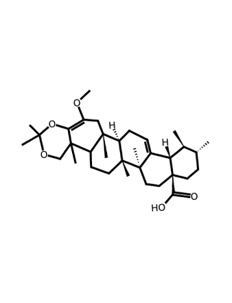 COC1=C2OC(C)(C)OCC2(C)C2CC[C@]3(C)[C@H](CC=C4[C@@H]5[C@@H](C)[C@H](C)CC[C@]5(C(=O)O)CC[C@]43C)[C@@]2(C)C1